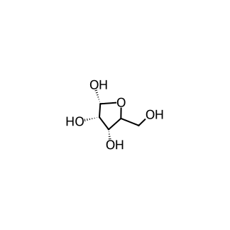 OCC1O[C@@H](O)[C@@H](O)[C@H]1O